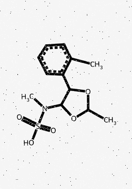 Cc1ccccc1C1OC(C)OC1N(C)S(=O)(=O)O